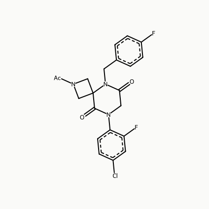 CC(=O)N1CC2(C1)C(=O)N(c1ccc(Cl)cc1F)CC(=O)N2Cc1ccc(F)cc1